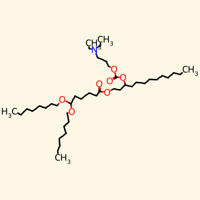 CCCCCCCCCCC(CCOC(=O)CCCCC(OCCCCCCCC)OCCCCCCCC)OC(=O)OCCCN(CC)CC